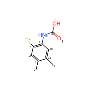 Cc1cc(F)c(NC(=O)O)cc1C